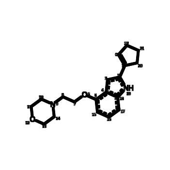 C1=C(c2cc3c(OCCN4CCOCC4)cccc3[nH]2)CCC1